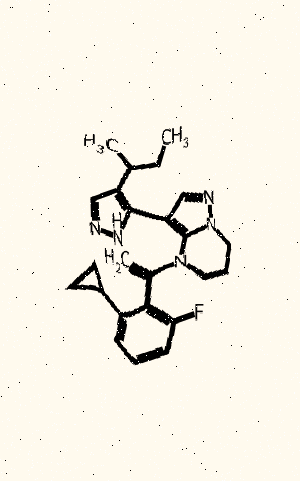 C=C(c1c(F)cccc1C1CC1)N1CCCn2ncc(-c3[nH]ncc3C(C)CC)c21